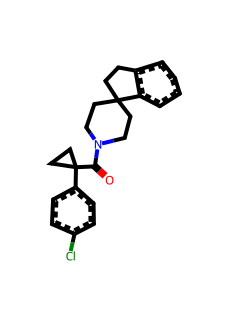 O=C(N1CCC2(CCc3ccccc32)CC1)C1(c2ccc(Cl)cc2)CC1